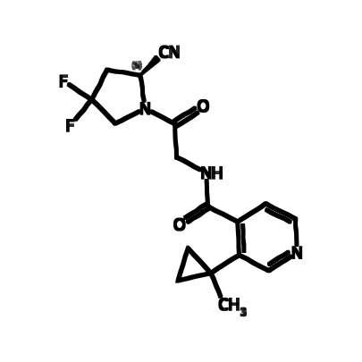 CC1(c2cnccc2C(=O)NCC(=O)N2CC(F)(F)C[C@H]2C#N)CC1